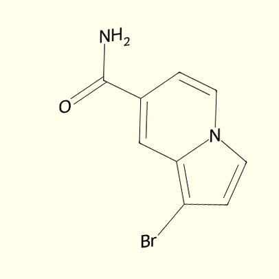 NC(=O)c1ccn2ccc(Br)c2c1